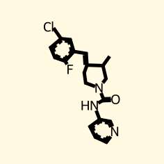 CC1CN(C(=O)Nc2cccnc2)CC/C1=C\c1cc(Cl)ccc1F